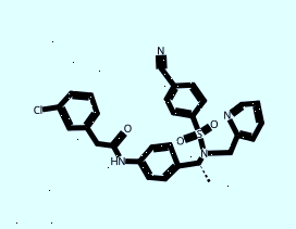 C[C@H](c1ccc(NC(=O)Cc2cccc(Cl)c2)cc1)N(Cc1ccccn1)S(=O)(=O)c1ccc(C#N)cc1